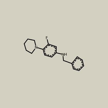 Fc1cc(NCc2ccccc2)ccc1N1CCCCC1